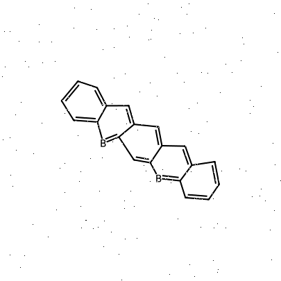 b1c2ccccc2cc2cc3cc4ccccc4bc3cc12